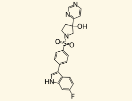 O=S(=O)(c1ccc(-c2c[nH]c3cc(F)ccc23)cc1)N1CCC(O)(c2ccncn2)C1